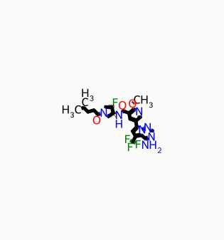 COc1ncc(-c2cc(C(F)(F)F)c3c(N)ncnn23)cc1C(=O)N[C@@H]1CN(C(=O)CCC(C)C)C[C@@H]1F